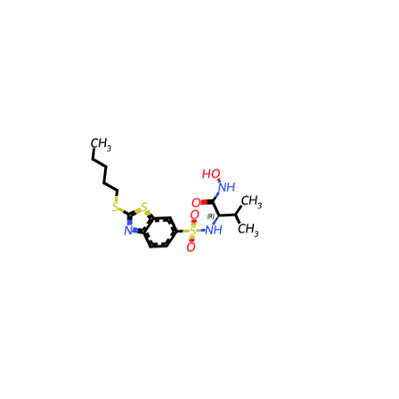 CCCCCSc1nc2ccc(S(=O)(=O)N[C@@H](C(=O)NO)C(C)C)cc2s1